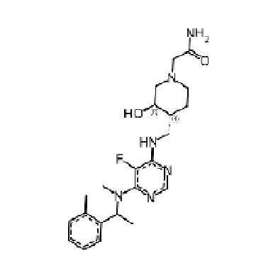 Cc1ccccc1C(C)N(C)c1ncnc(NC[C@H]2CCN(CC(N)=O)C[C@@H]2O)c1F